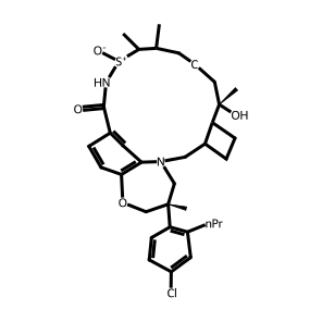 CCCc1cc(Cl)ccc1[C@]1(C)COc2ccc3cc2N(CC2CCC2[C@@](C)(O)CCCC(C)C(C)[S+]([O-])NC3=O)C1